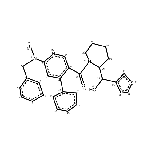 CN(Cc1ccccc1)c1cc(-c2ccccc2)c(C(=O)N2CCCCC2C(O)c2ccsc2)cn1